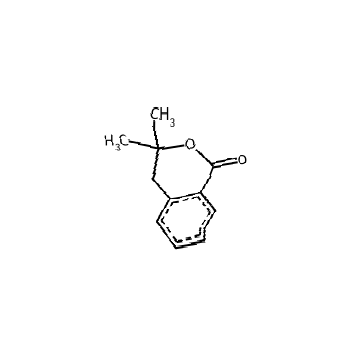 CC1(C)Cc2ccccc2C(=O)O1